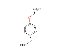 CCOC(=O)COc1ccc(CC=O)cc1